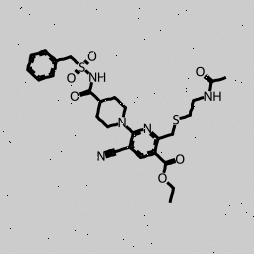 CCOC(=O)c1cc(C#N)c(N2CCC(C(=O)NS(=O)(=O)Cc3ccccc3)CC2)nc1CSCCNC(C)=O